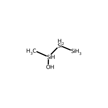 C[SiH](O)[SiH2][SiH3]